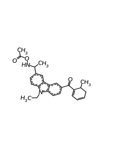 CCn1c2ccc(C(=O)C3=CC=CCC3C)cc2c2cc(C(C)NOC(C)=O)ccc21